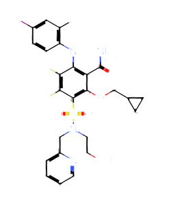 Cc1cc(I)ccc1Nc1c(F)c(F)c(S(=O)(=O)N(CCO)Cc2ccccn2)c(OCC2CC2)c1C(N)=O